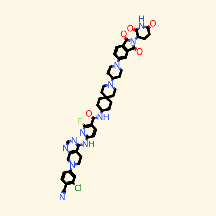 N#Cc1ccc(N2CCc3c(ncnc3Nc3ccc(C(=O)NC4CCC5(CC4)CCN(C4CCN(c6ccc7c(c6)C(=O)N(C6CCC(=O)NC6=O)C7=O)CC4)CC5)c(F)n3)C2)cc1Cl